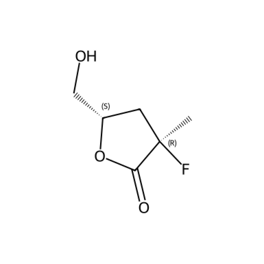 C[C@@]1(F)C[C@@H](CO)OC1=O